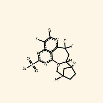 CCS(=O)(=O)c1nc2c3c(nc(Cl)c(F)c3n1)C(F)(F)C[C@@H]1[C@@H]3CC[C@@H](C3)CN21